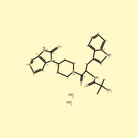 CC(C)(N)C(=O)NC(Cc1c[nH]c2ccccc12)C(=O)N1CCC(n2c(=O)[nH]c3cnccc32)CC1.Cl.Cl